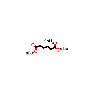 CCCCOC(=O)CCCCC(=O)OCCCC.[SnH4]